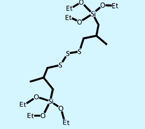 CCO[Si](CC(C)CSSSCC(C)C[Si](OCC)(OCC)OCC)(OCC)OCC